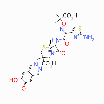 CC(C)(ON=C(C(=O)NC1C(=O)N2CC(Cn3cc4cc(O)c(=O)cc-4cn3)(C(=O)O)CS[C@H]12)c1csc(N)n1)C(=O)O